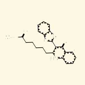 COC(=O)CCCCCc1[nH]c2ccccc2c(=O)c1-c1nc2ccccc2o1